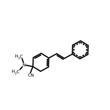 CN(C)C1(C#N)C=CC(C=Cc2ccccc2)=CC1